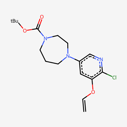 C=COc1cc(N2CCCN(C(=O)OC(C)(C)C)CC2)cnc1Cl